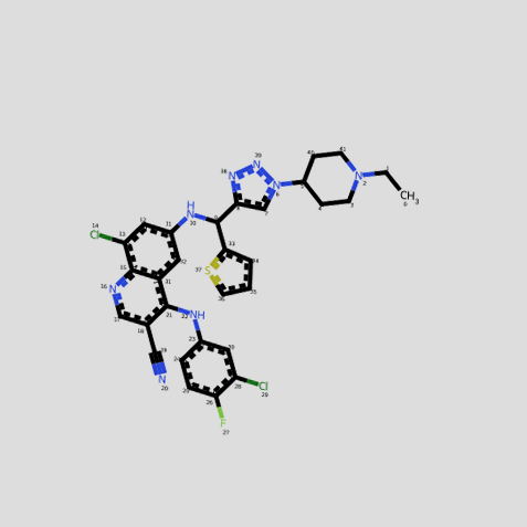 CCN1CCC(n2cc(C(Nc3cc(Cl)c4ncc(C#N)c(Nc5ccc(F)c(Cl)c5)c4c3)c3cccs3)nn2)CC1